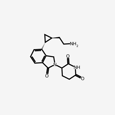 NCC[C@@H]1C[C@H]1c1cccc2c1CN(C1CCC(=O)NC1=O)C2=O